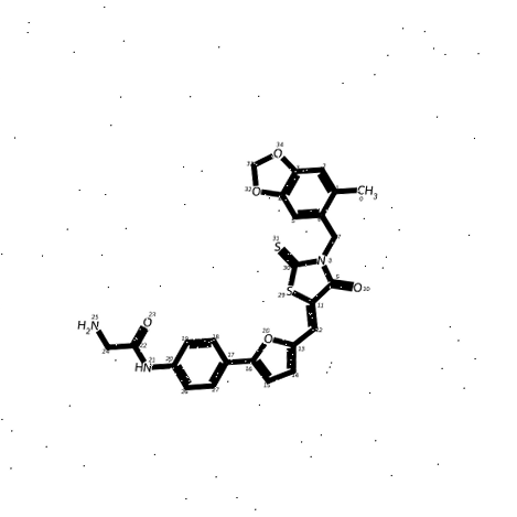 Cc1cc2c(cc1CN1C(=O)/C(=C/c3ccc(-c4ccc(NC(=O)CN)cc4)o3)SC1=S)OCO2